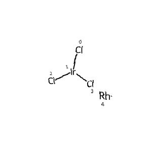 [Cl][Ir]([Cl])[Cl].[Rh]